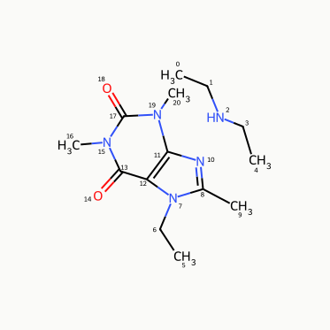 CCNCC.CCn1c(C)nc2c1c(=O)n(C)c(=O)n2C